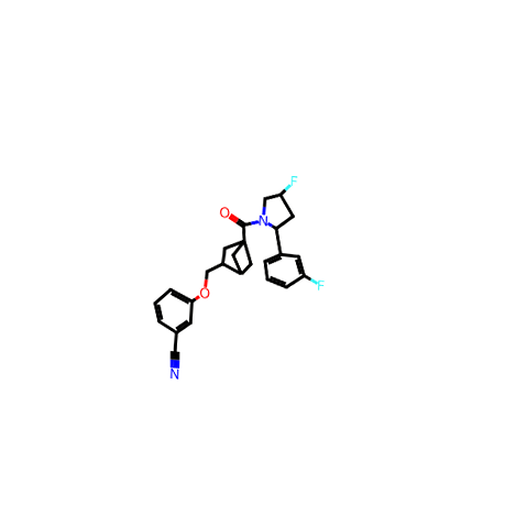 N#Cc1cccc(OCC2CC3(C(=O)N4CC(F)CC4c4cccc(F)c4)CC2C3)c1